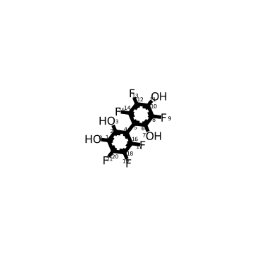 Oc1c(O)c(-c2c(O)c(F)c(O)c(F)c2F)c(F)c(F)c1F